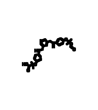 CC(C)(OC=O)Oc1ccc(NCc2cncc(CNc3ccc(OC(C)(C)C(=O)O)cc3)c2)cc1